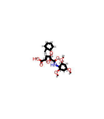 COc1cc(OC)c(NC(=O)c2oc(C(=O)O)cc2Oc2ccccc2C)c(OC)c1